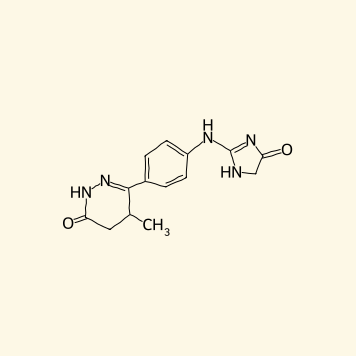 CC1CC(=O)NN=C1c1ccc(NC2=NC(=O)CN2)cc1